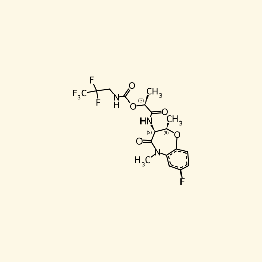 C[C@H](OC(=O)NCC(F)(F)C(F)(F)F)C(=O)N[C@@H]1C(=O)N(C)c2cc(F)ccc2O[C@@H]1C